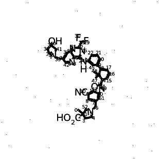 CC1(C(=O)O)CCN(Cc2cc(C#N)c3oc(C4C=CC=C(c5cccc(Nc6nc(C(F)F)nc7cc(CN8CCC(O)C8)cnc67)c5)C4(C)C)nc3c2)C1